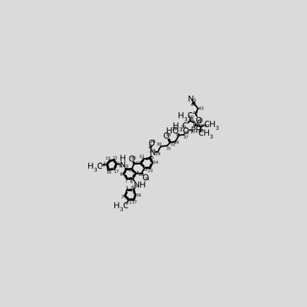 Cc1ccc(Nc2ccc(Nc3ccc(C)cc3)c3c2C(=O)c2ccc(N(C=O)CCCC(=O)CC(O)COP[N+](OCCC#N)(C(C)C)C(C)C)cc2C3=O)cc1